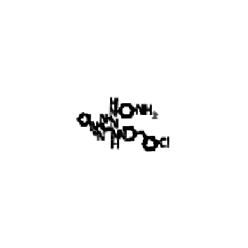 NC1CCC(Nc2nc(NN3CCC(Cc4cccc(Cl)c4)CC3)c3ncn(C4CCCC4)c3n2)CC1